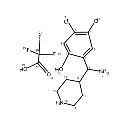 NC(c1cc(Cl)c(Cl)cc1O)C1CCNCC1.O=C(O)C(F)(F)F